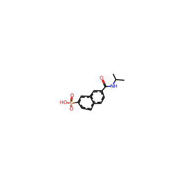 CC(C)NC(=O)c1ccc2ccc(S(=O)(=O)O)cc2c1